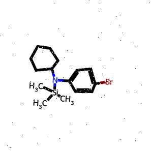 C[Si](C)(C)N(c1ccc(Br)cc1)C1CCCCC1